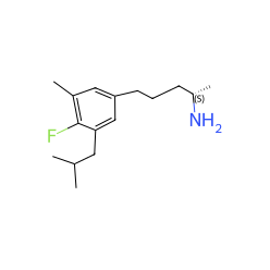 Cc1cc(CCC[C@H](C)N)cc(CC(C)C)c1F